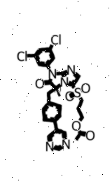 CC(=O)OCCCS(=O)(=O)c1cnc2n1[C@](C)(Cc1ccc(-c3cncnc3)cc1)C(=O)N2c1cc(Cl)cc(Cl)c1